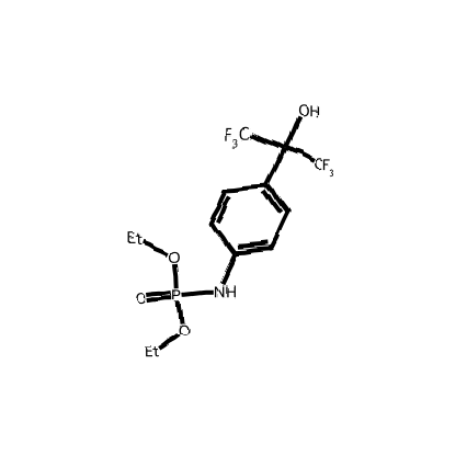 CCOP(=O)(Nc1ccc(C(O)(C(F)(F)F)C(F)(F)F)cc1)OCC